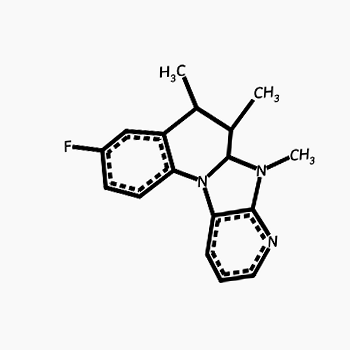 CC1c2cc(F)ccc2N2c3cccnc3N(C)C2C1C